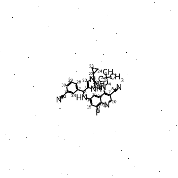 CC(C)(C)CNc1c(C#N)cnc2c(F)cc(NC(C3=CN(C4CC4)NN3)c3cccc(C#N)c3)cc12